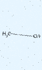 [CH]/C=C/CCCCCCCCCCCCCCCCCCCCC